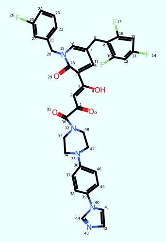 O=C(C=C(O)c1cc(Cc2c(F)cc(F)cc2F)cn(Cc2cccc(F)c2)c1=O)C(=O)N1CCN(c2ccc(-n3ccnc3)cc2)CC1